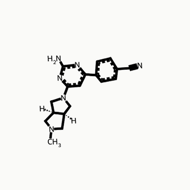 CN1C[C@@H]2CN(c3cc(-c4ccc(C#N)cc4)nc(N)n3)C[C@@H]2C1